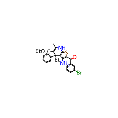 CCOC(=O)C1=C(C)Nc2sc(C(=O)c3cccc(Br)c3)c(N)c2C1(CC)c1ccccc1